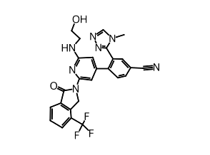 Cn1cnnc1-c1cc(C#N)ccc1-c1cc(NCCO)nc(N2Cc3c(cccc3C(F)(F)F)C2=O)c1